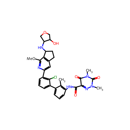 COc1nc(-c2cccc(-c3cccc(NC(=O)c4nn(C)c(=O)n(C)c4=O)c3C)c2Cl)cc2c1C(NC1COCC1O)CC2